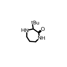 CC(C)(C)C1NCCCNC1=O